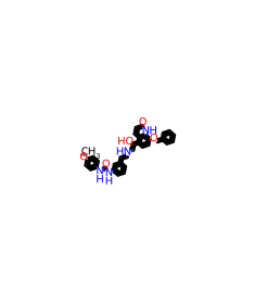 COc1ccc(NC(=O)Nc2cccc(CCNC[C@@H](O)c3ccc(OCc4ccccc4)c4[nH]c(=O)ccc34)c2)cc1